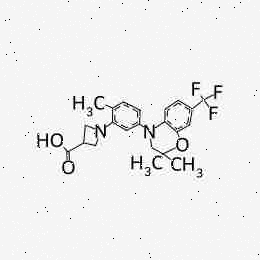 Cc1ccc(N2CC(C)(C)Oc3cc(C(F)(F)F)ccc32)cc1N1CC(C(=O)O)C1